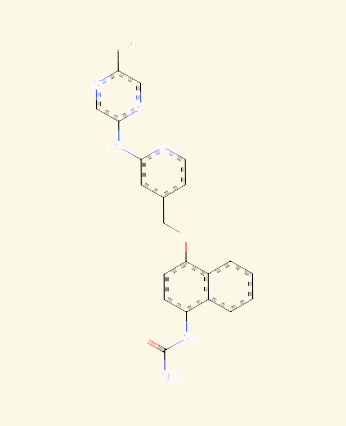 COc1cnc(Nc2cc(COc3ccc(NC(N)=O)c4ccccc34)ccn2)cn1